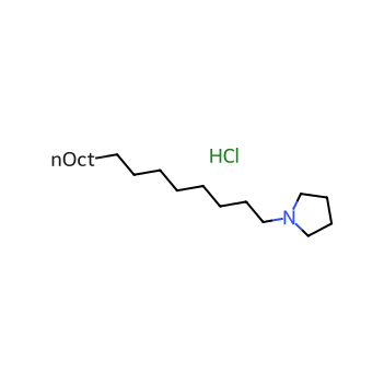 CCCCCCCCCCCCCCCCN1CCCC1.Cl